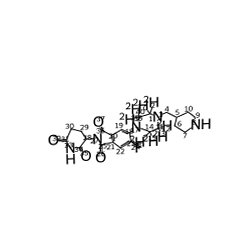 [2H]C1([2H])N(CC2CCNCC2)C([2H])([2H])C([2H])([2H])N(c2cc3c(cc2F)C(=O)N(C2CCC(=O)NC2=O)C3=O)C1([2H])[2H]